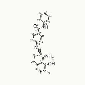 Cc1ccc2c(c1O)C(N)C(N=Nc1ccc(C(=O)Nc3ccccc3)cc1)CC2